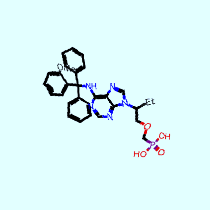 CCC(COCP(=O)(O)O)n1cnc2c(NC(c3ccccc3)(c3ccccc3)c3ccccc3OC)ncnc21